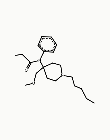 CCCCCN1CCC(COC)(N(C(=O)CC)c2ccccc2)CC1